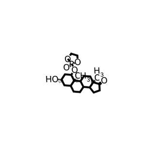 C[C@]12C(CCC3C1CC[C@]1(C)C(=O)CCC31)C[C@H](O)CC2OP1(=O)OCCO1